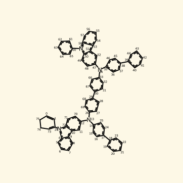 C1=CC(n2c3ccccc3c3cc(N(c4ccc(-c5ccccc5)cc4)c4ccc(-c5ccc(N(c6ccc(-c7ccccc7)cc6)c6ccc7c(c6)c6ccccc6n7-c6ccccc6)cc5)cc4)ccc32)=CCC1